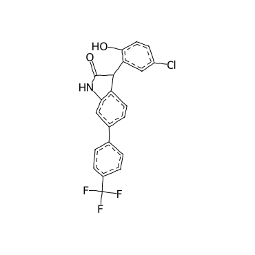 O=C1Nc2cc(-c3ccc(C(F)(F)F)cc3)ccc2C1c1cc(Cl)ccc1O